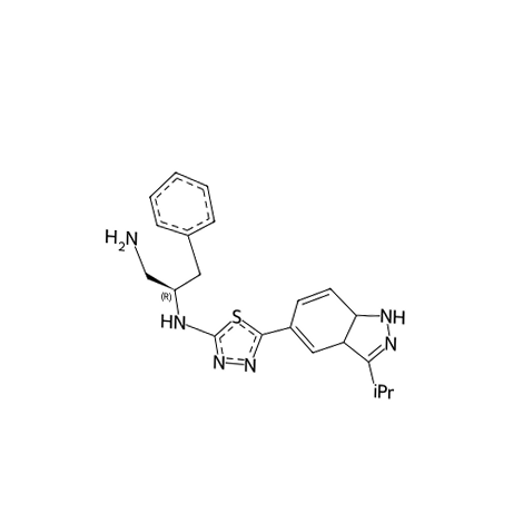 CC(C)C1=NNC2C=CC(c3nnc(N[C@@H](CN)Cc4ccccc4)s3)=CC12